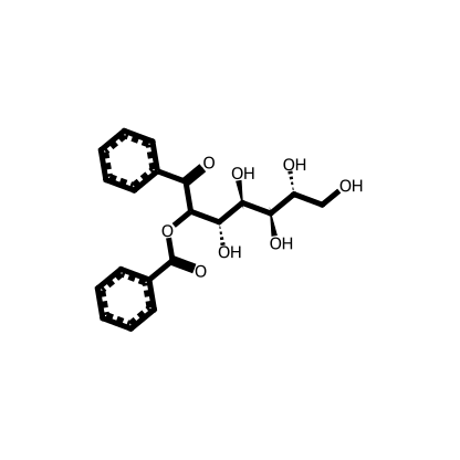 O=C(OC(C(=O)c1ccccc1)[C@@H](O)[C@@H](O)[C@H](O)[C@H](O)CO)c1ccccc1